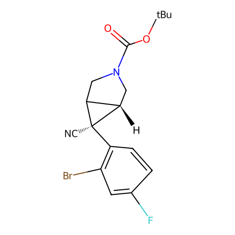 CC(C)(C)OC(=O)N1CC2[C@H](C1)[C@@]2(C#N)c1ccc(F)cc1Br